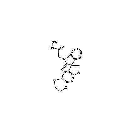 NNC(=O)CN1C(=O)C2(COc3cc4c(cc32)OCCO4)c2ccccc21